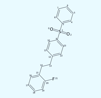 O=S(=O)(c1ccccc1)c1ccc(CCc2ccccc2F)cc1